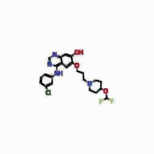 Oc1cc2ncnc(Nc3cccc(Cl)c3)c2cc1OCCCN1CCC(OC(F)F)CC1